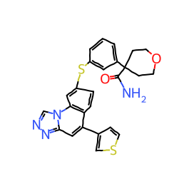 NC(=O)C1(c2cccc(Sc3ccc4c(-c5ccsc5)cc5nncn5c4c3)c2)CCOCC1